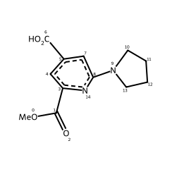 COC(=O)c1cc(C(=O)O)cc(N2CCCC2)n1